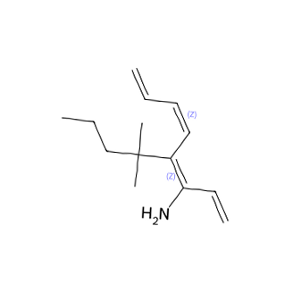 C=C/C=C\C(=C(\N)C=C)C(C)(C)CCC